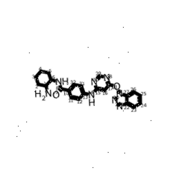 NC1CCCCC1NC(=O)c1ccc(Nc2cc(On3nnc4ccccc43)ncn2)cc1